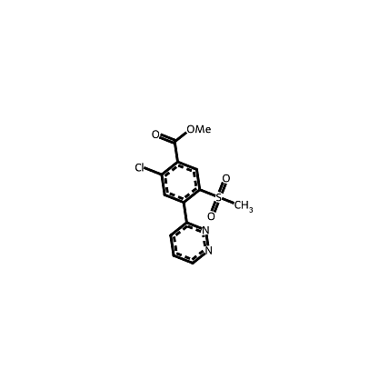 COC(=O)c1cc(S(C)(=O)=O)c(-c2cccnn2)cc1Cl